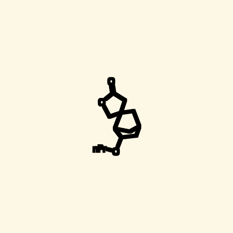 CCCOC1CC2CC1C1(COC(=O)C1)C2